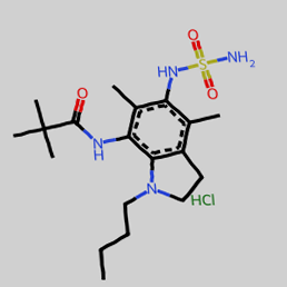 CCCCN1CCc2c(C)c(NS(N)(=O)=O)c(C)c(NC(=O)C(C)(C)C)c21.Cl